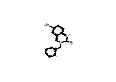 Oc1ccc2c(c1)=CN(Cc1ccccc1)C(S)N=2